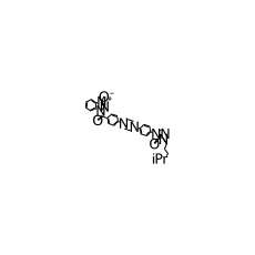 CC(C)CCCn1ncn(-c2ccc(N3CCN(c4ccc(C(=O)n5n[n+]([O-])c6ccccc65)cc4)CC3)cc2)c1=O